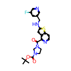 CC(C)(C)OC(=O)N1CCN(C(=O)c2nccc3sc(NCc4cncc(F)c4)cc23)C1